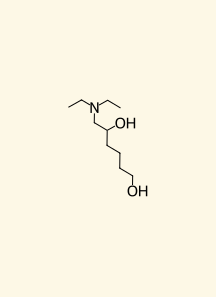 CCN(CC)CC(O)CCCCO